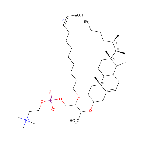 CCCCCCCC/C=C\CCCCCCCCOC(COP(=O)([O-])OCC[N+](C)(C)C)C(OC1CC[C@@]2(C)C(=CCC3C2CC[C@@]2(C)C3CC[C@@H]2[C@H](C)CCCC(C)C)C1)C(=O)O